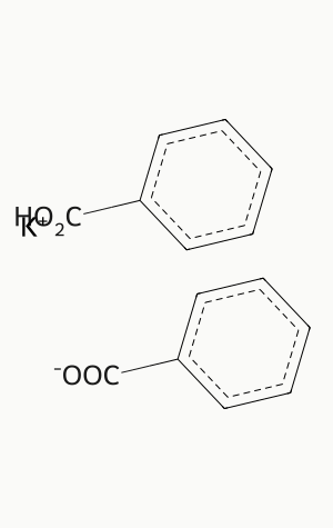 O=C(O)c1ccccc1.O=C([O-])c1ccccc1.[K+]